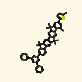 Cc1ccc(-c2cc(C)c3c(c2)C(C)(C)c2cc4c(cc2-3)C(C)(C)c2cc3c(cc2-4)C(C)(C)c2cc(-c4cc(-c5ccccc5)cc(-c5ccccc5)c4)ccc2-3)s1